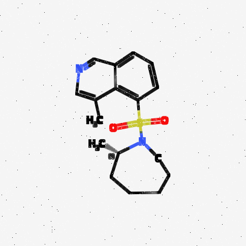 Cc1cncc2cccc(S(=O)(=O)N3CCCCC[C@@H]3C)c12